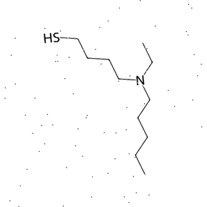 CCCCCN(CC)CCCCS